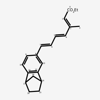 CCOC(=O)C=C(C)C=CC=Cc1ccc2c(c1)C1CCC2C1